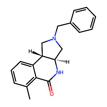 Cc1cccc2c1C(=O)N[C@@H]1CN(Cc3ccccc3)C[C@@H]21